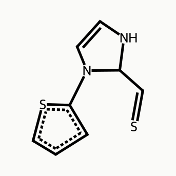 S=CC1NC=CN1c1cccs1